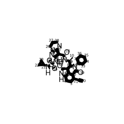 C#Cc1ccc2c3c(c([C@H](C)NC(=O)c4c(NS(=O)(=O)NC5CC5)nn5cccnc45)n(-c4ccccc4)c(=O)c13)C(=O)N2